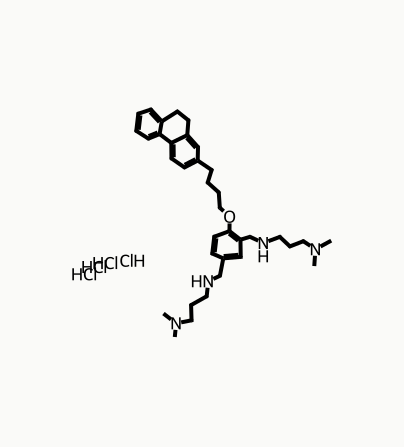 CN(C)CCCNCc1ccc(OCCCCc2ccc3c(c2)CCc2ccccc2-3)c(CNCCCN(C)C)c1.Cl.Cl.Cl.Cl